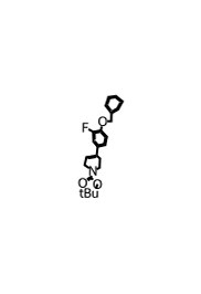 CC(C)(C)OC(=O)N1CC=C(c2ccc(OCc3ccccc3)c(F)c2)CC1